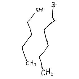 CCCCCS.CCCCS